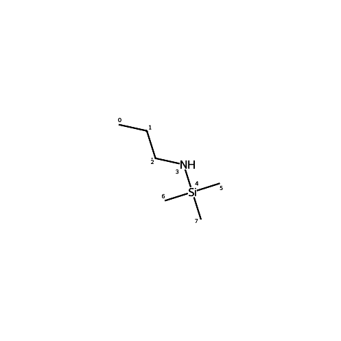 CC[CH]N[Si](C)(C)C